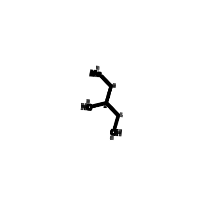 OCC(O)[CH2][Mo]